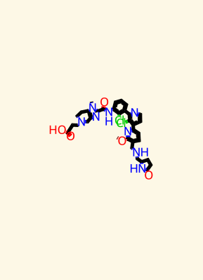 COc1nc(-c2ccnc(-c3cccc(NC(=O)c4nc5c(n4C)CCN(CCC(=O)O)C5)c3Cl)c2Cl)ccc1CNCC1CCC(=O)N1